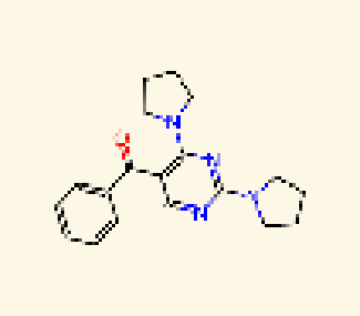 O=C(c1ccccc1)c1[c]nc(N2CCCC2)nc1N1CCCC1